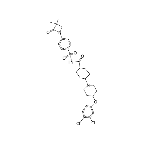 CC1(C)CN(c2ccc(S(=O)(=O)NC(=O)C3CCC(N4CCC(Oc5ccc(Cl)c(Cl)c5)CC4)CC3)cc2)C1=O